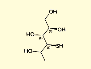 CC(O)[C@H](S)[C@H](O)[C@H](O)CO